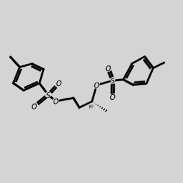 Cc1ccc(S(=O)(=O)OCC[C@@H](C)OS(=O)(=O)c2ccc(C)cc2)cc1